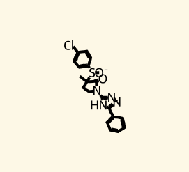 CC1([S+]([O-])c2ccc(Cl)cc2)CCN(c2nnc(-c3ccccc3)[nH]2)C1=O